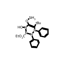 CCOC(=O)n1n(O)c(O[SiH3])c(C(C)(C)C)n(-c2ccccc2)n1-c1ccccc1